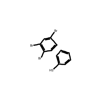 Brc1ccc(Br)c(Br)c1.Sc1ccccc1